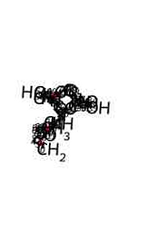 C=Cc1ccccc1CC(C(=O)CCC(=O)NCCSC[C@@H]1COCCN(Cc2cccc(C(=O)O)n2)CCOCCOCCN(Cc2cccc(C(=O)O)n2)CCO1)c1ccccc1C